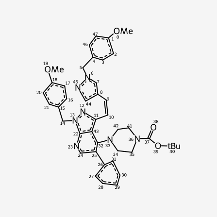 COc1ccc(Cn2cc(/C=C\c3nn(Cc4ccc(OC)cc4)c4ncc(-c5ccccc5)c(N5CCN(C(=O)OC(C)(C)C)CC5)c34)cn2)cc1